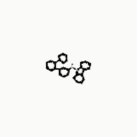 c1ccc(-c2ccccc2-c2cccc(Nn3c4ccccc4c4ccccc43)c2)cc1